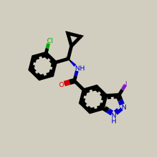 O=C(N[C@@H](c1ccccc1Cl)C1CC1)c1ccc2[nH]nc(I)c2c1